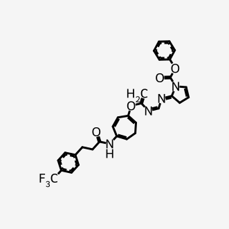 C=C(/N=C\N=C1/CC=CN1C(=O)Oc1ccccc1)OC1=CCC=C(NC(=O)CCc2ccc(C(F)(F)F)cc2)C=C1